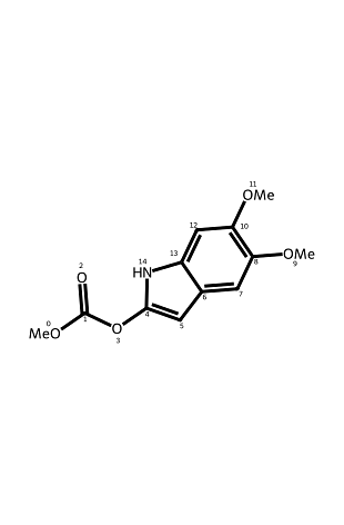 COC(=O)Oc1cc2cc(OC)c(OC)cc2[nH]1